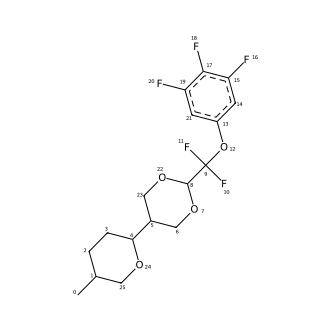 CC1CCC(C2COC(C(F)(F)Oc3cc(F)c(F)c(F)c3)OC2)OC1